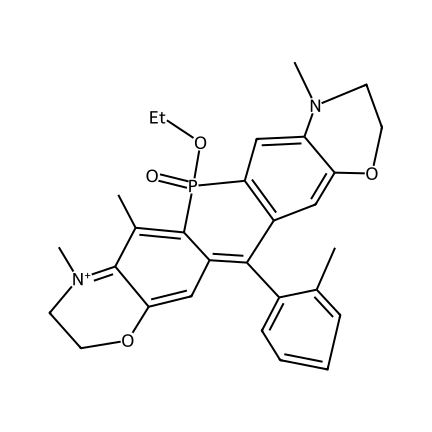 CCOP1(=O)c2cc3c(cc2C(c2ccccc2C)=c2cc4c(c(C)c21)=[N+](C)CCO4)OCCN3C